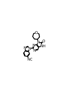 [C-]#[N+]c1ccc2ncn(-c3ncc4[nH]c(=O)n(C5CCCOCC5)c4n3)c2c1